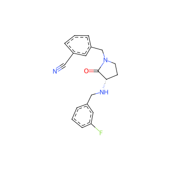 N#Cc1cccc(CN2CC[C@H](NCc3cccc(F)c3)C2=O)c1